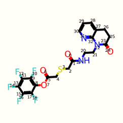 O=C(CSCC(=O)Oc1c(F)c(F)c(F)c(F)c1F)NCCN1C(=O)CCc2cccnc21